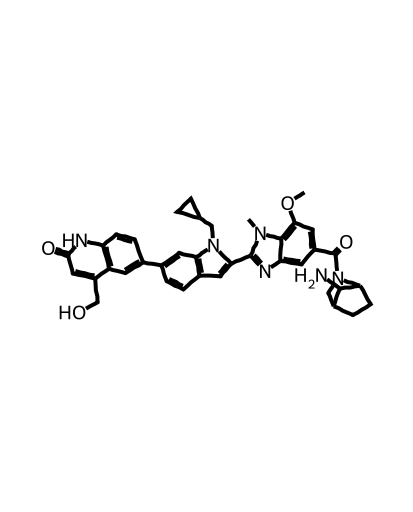 COc1cc(C(=O)N2CC3CCC2C3N)cc2nc(-c3cc4ccc(-c5ccc6[nH]c(=O)cc(CO)c6c5)cc4n3CC3CC3)n(C)c12